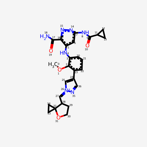 COc1c(Nc2cc(NC(=O)C3CC3)nnc2C(N)=O)cccc1C1=C/[N+](=C/C2CCOC23CC3)N=C1